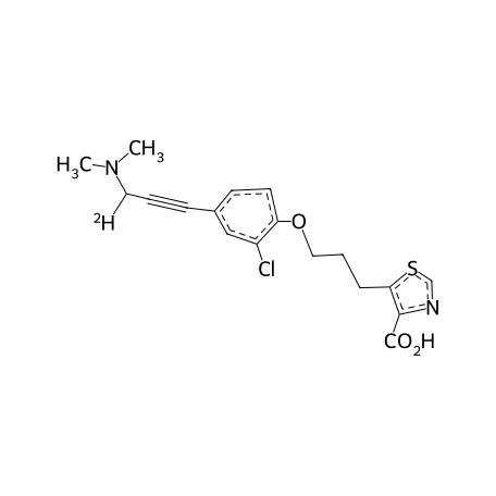 [2H]C(C#Cc1ccc(OCCCc2scnc2C(=O)O)c(Cl)c1)N(C)C